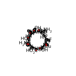 CCCC[C@H]1C(=O)N2C[C@H](O)C[C@@H]2C(=O)N[C@@H](CC(=O)O)C(=O)N[C@@H](C(C)C)C(=O)N(C)[C@@H](Cc2ccccc2)C(=O)N[C@@H](CCCN)C(=O)N2C[C@H](O)C[C@@H]2C(=O)N[C@@H](Cc2c[nH]c3ccccc23)C(=O)N[C@@H](Cc2ccc(O)cc2)C(=O)N[C@@H](CC(C)C)C(=O)N[C@H](C(=O)NCC(N)=O)CSCC(=O)N[C@@H](Cc2ccc(F)c(F)c2)C(=O)N(C)[C@@H](Cc2ccccc2)C(=O)N1C